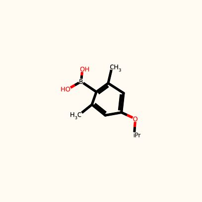 Cc1cc(OC(C)C)cc(C)c1B(O)O